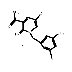 Br.Cc1cc(F)cc(Cn2cc(Cl)cc(C(N)=O)c2=N)c1